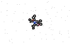 CC1(C)c2ccccc2-c2ccc(N(c3ccc4c(c3)C(C)(C)c3ccccc3-4)c3cc4c(cc3-c3ccc5ccc6ccccc6c5c3)-c3ccccc3C4(c3ccccc3)c3ccccc3)cc21